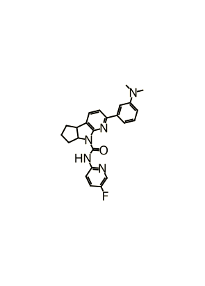 CN(C)c1cccc(-c2ccc3c(n2)N(C(=O)Nc2ccc(F)cn2)C2CCCC32)c1